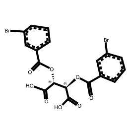 O=C(O[C@@H](C(=O)O)[C@@H](OC(=O)c1cccc(Br)c1)C(=O)O)c1cccc(Br)c1